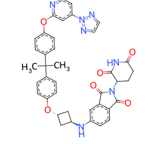 CC(C)(c1ccc(Oc2cc(-n3nccn3)ccn2)cc1)c1ccc(O[C@H]2C[C@H](Nc3ccc4c(c3)C(=O)N(C3CCC(=O)NC3=O)C4=O)C2)cc1